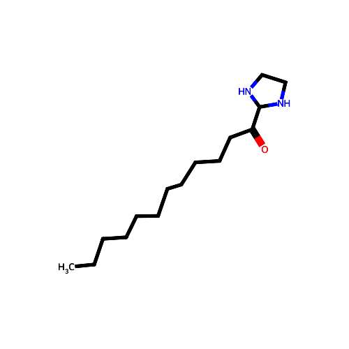 CCCCCCCCCCCC(=O)C1NCCN1